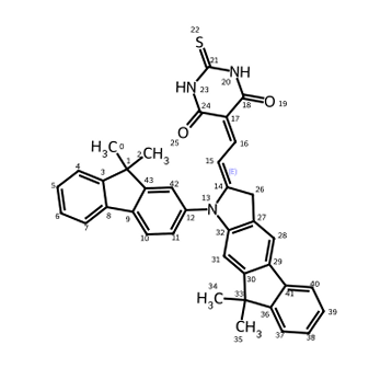 CC1(C)c2ccccc2-c2ccc(N3/C(=C/C=C4C(=O)NC(=S)NC4=O)Cc4cc5c(cc43)C(C)(C)c3ccccc3-5)cc21